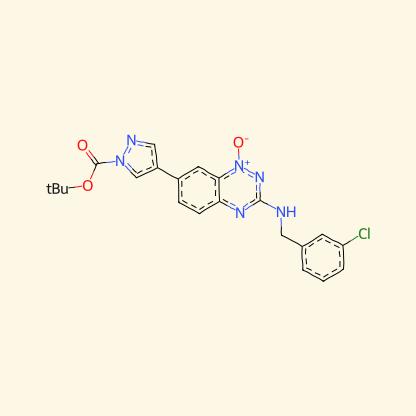 CC(C)(C)OC(=O)n1cc(-c2ccc3nc(NCc4cccc(Cl)c4)n[n+]([O-])c3c2)cn1